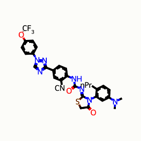 CCCc1ccc(N(C)C)cc1N1C(=O)CSC1=NC(=O)Nc1ccc(-c2ncn(-c3ccc(OC(F)(F)F)cc3)n2)cc1C#N